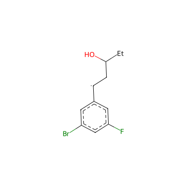 CCC(O)C[CH]c1cc(F)cc(Br)c1